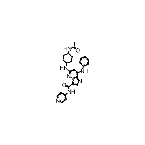 CC(=O)NC1CCC(Nc2cc(Nc3ccccc3)c3ncc(C(=O)Nc4ccncc4)n3n2)CC1